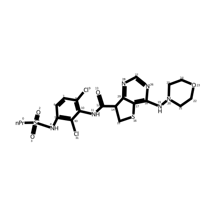 CCCS(=O)(=O)Nc1ccc(Cl)c(NC(=O)C2CSc3c(NN4CCOCC4)ncnc32)c1Cl